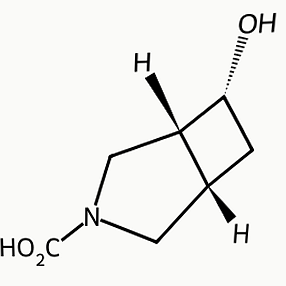 O=C(O)N1C[C@H]2C[C@@H](O)[C@H]2C1